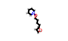 C1CCN(OCCCC[C]2CCO2)CC1